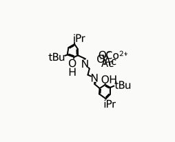 CC(=O)[O-].CC(=O)[O-].CC(C)c1cc(C=NCCN=Cc2cc(C(C)C)cc(C(C)(C)C)c2O)c(O)c(C(C)(C)C)c1.[Co+2]